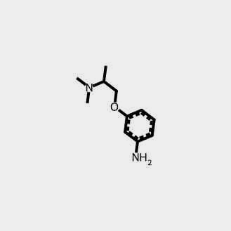 CC(COc1cccc(N)c1)N(C)C